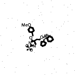 COc1ccc(COc2nc(S(C)(=O)=O)ncc2CCO[Si](c2ccccc2)(c2ccccc2)C(C)(C)C)cc1